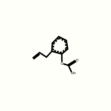 C=CCc1ccccc1OC(=O)CCC